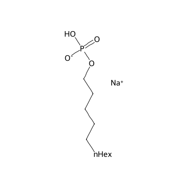 CCCCCCCCCCCOP(=O)([O-])O.[Na+]